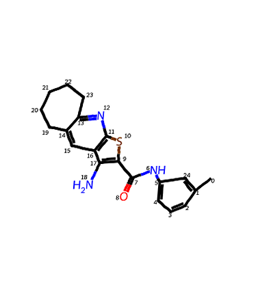 Cc1cccc(NC(=O)c2sc3nc4c(cc3c2N)CCCCC4)c1